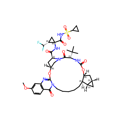 COc1ccc2c(=O)n3c(nc2c1)O[C@@H]1C[C@@H](C(=O)N[C@]2(C(=O)NS(=O)(=O)C4CC4)C[C@H]2C(F)F)N(C1)C(=O)[C@H](C(C)(C)C)NC(=O)O[C@@H]1C[C@@H]2C[C@@H]2[C@H]1CCCCC3